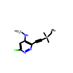 CC(C)(C)C[Si](C)(C)C#Cc1nnc(Cl)cc1NC(=O)O